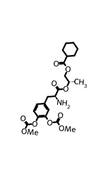 COC(=O)Oc1ccc(C[C@H](N)C(=O)O[C@@H](C)COC(=O)C2CCCCC2)cc1OC(=O)OC